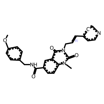 COc1ccc(CNC(=O)c2ccc3c(c2)c(=O)n(C/C=C/c2ccncc2)c(=O)n3C)cc1